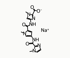 Cn1cc(NC(=O)c2nccn2C)cc1C(=O)Nc1cn(C)c(C(=O)[O-])n1.[Na+]